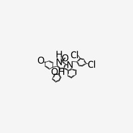 O=C1C=CC(O)(c2[nH]c(=O)c3c(c2-c2ccccc2)c2ccccc2n3Cc2ccc(Cl)cc2Cl)C=C1